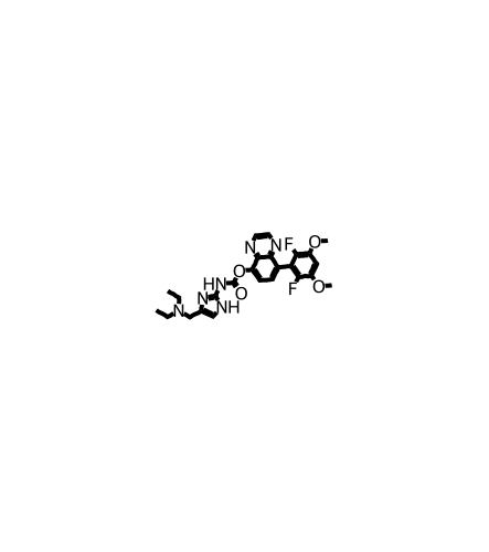 CCN(CC)Cc1c[nH]c(NC(=O)Oc2ccc(-c3c(F)c(OC)cc(OC)c3F)c3nccnc23)n1